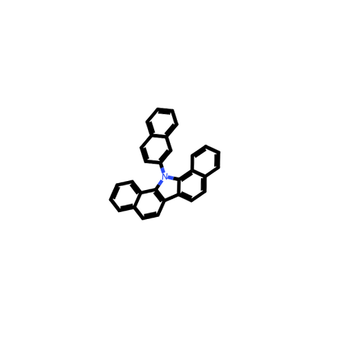 c1ccc2cc(-n3c4c5ccccc5ccc4c4ccc5ccccc5c43)ccc2c1